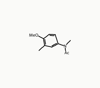 COc1ccc(N(C)C(C)=O)cc1C